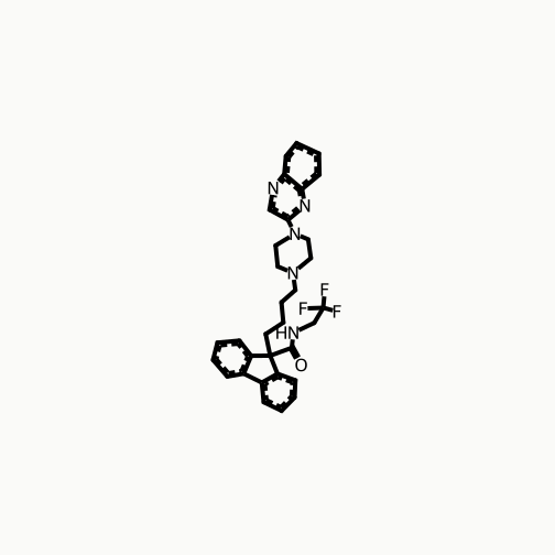 O=C(NCC(F)(F)F)C1(CCCCN2CCN(c3cnc4ccccc4n3)CC2)c2ccccc2-c2ccccc21